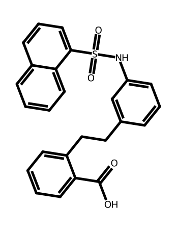 O=C(O)c1ccccc1CCc1cccc(NS(=O)(=O)c2cccc3ccccc23)c1